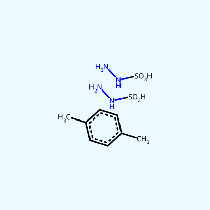 Cc1ccc(C)cc1.NNS(=O)(=O)O.NNS(=O)(=O)O